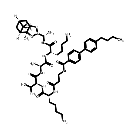 CCCCc1ccc(-c2ccc(C(=O)NCCC(=O)N[C@@H](CCCCN)C(=O)N[C@H](C(=O)N[C@@H](N)C(=O)N[C@@H](CCCCN)C(=O)N[C@@H](N)B3OC4C[C@@H]5C[C@@H](C5(C)C)[C@]4(C)O3)C(C)O)cc2)cc1